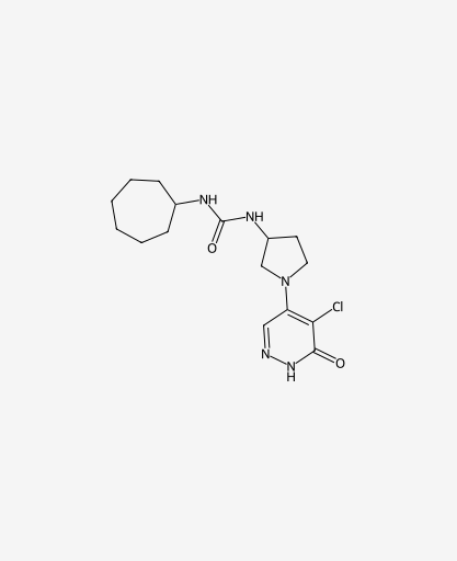 O=C(NC1CCCCCC1)NC1CCN(c2cn[nH]c(=O)c2Cl)C1